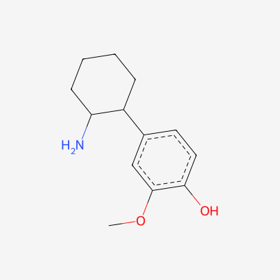 COc1cc(C2CCCCC2N)ccc1O